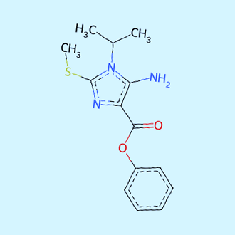 CSc1nc(C(=O)Oc2ccccc2)c(N)n1C(C)C